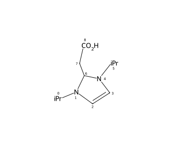 CC(C)N1C=CN(C(C)C)C1CC(=O)O